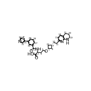 O=C(NC(CCO[C@H]1C[C@@H](CCc2ccc3c(n2)NCCC3)C1)C(=O)O)c1cccc(-c2cncs2)c1